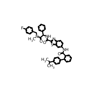 CC(C)c1ccc(-c2ccccc2C(=O)Nc2ccc3nc(C(=O)NC(C(=O)N(C)Cc4ccc(F)cc4)c4ccccc4)sc3c2)cc1